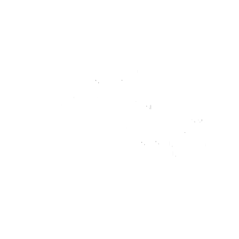 CCOC1(C)CC=C(Cl)C=C1C(=O)NCC(C)(C)CC(=O)Nc1c(CC(C)(C)NC)n(C)n(-c2ccccc2)c1=O